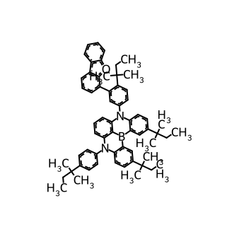 CCC(C)(C)c1ccc(N2c3ccc(C(C)(C)CC)cc3B3c4cc(C(C)(C)CC)ccc4N(c4ccc(C(C)(C)CC)c(-c5cccc6c5oc5ccccc56)c4)c4cccc2c43)cc1